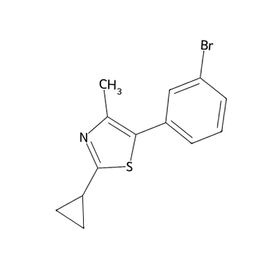 Cc1nc(C2CC2)sc1-c1cccc(Br)c1